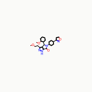 COCCc1n[nH]c2c1C(c1ccccc1OC)N(c1ccc(-c3ccon3)cc1)C2=O